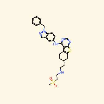 CS(=O)(=O)CCNCCC1CCc2c(sc3ncnc(Nc4ccc5c(cnn5Cc5ccccc5)c4)c23)C1